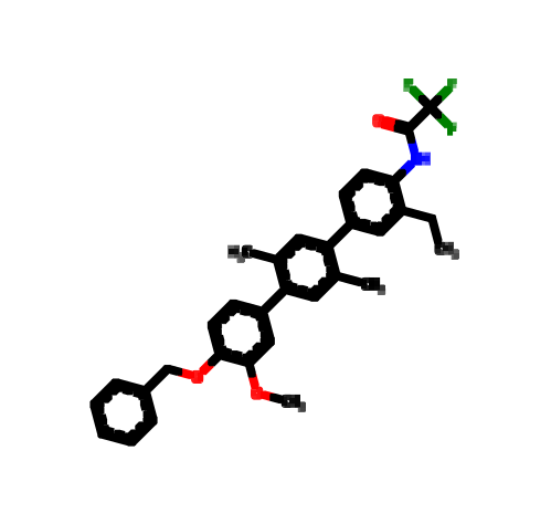 CCc1cc(-c2cc(C)c(-c3ccc(OCc4ccccc4)c(OC)c3)cc2C)ccc1NC(=O)C(F)(F)F